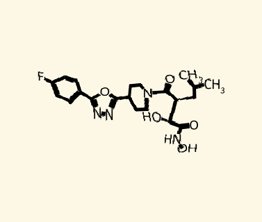 CC(C)C[C@H](C(=O)N1CCC(c2nnc(-c3ccc(F)cc3)o2)CC1)[C@H](O)C(=O)NO